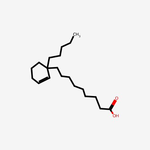 CCCCCC1(CCCCCCCCC(=O)O)C=CCCC1